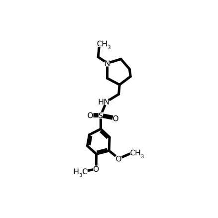 CCN1CCCC(CNS(=O)(=O)c2ccc(OC)c(OC)c2)C1